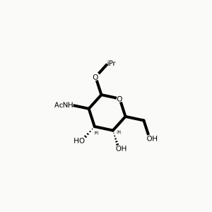 CC(=O)NC1C(OC(C)C)OC(CO)[C@H](O)[C@@H]1O